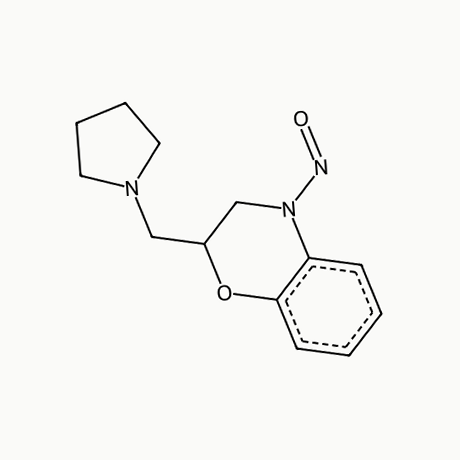 O=NN1CC(CN2CCCC2)Oc2ccccc21